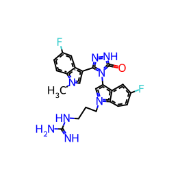 Cn1cc(-c2n[nH]c(=O)n2-c2cn(CCCNC(=N)N)c3ccc(F)cc23)c2cc(F)ccc21